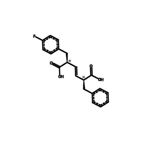 O=C(O)[C@H](C=C[C@H](Cc1ccc(F)cc1)C(=O)O)Cc1ccccc1